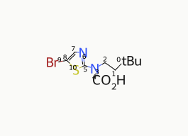 CC(C)(C)CCN(C(=O)O)c1ncc(Br)s1